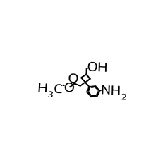 CCOC(=O)CC1(c2cccc(N)c2)CC(CO)C1